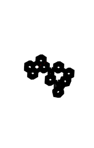 c1ccc(-c2cccc(N(c3cccc(-c4cccc5cccc(-c6ccccc6)c45)c3)c3cccc(-n4c5ccccc5c5ccccc54)c3)c2)cc1